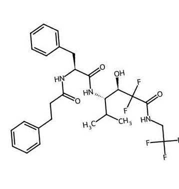 CC(C)[C@H](NC(=O)[C@H](Cc1ccccc1)NC(=O)CCc1ccccc1)[C@@H](O)C(F)(F)C(=O)NCC(F)(F)F